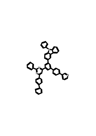 c1ccc(-c2ccc(-c3cc(-c4cc(-c5ccc(-c6cccnc6)cc5)cc(-c5ccc6c(c5)c5ccccc5n6-c5ccccc5)c4)nc(-c4ccccc4)n3)cc2)cc1